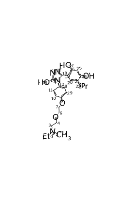 CCN(C)CCOCCOc1ccc(-n2c(O)nnc2-c2cc(C(C)C)c(O)cc2O)cc1